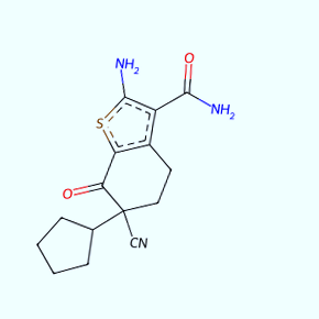 N#CC1(C2CCCC2)CCc2c(sc(N)c2C(N)=O)C1=O